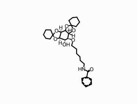 O=C(NCCCCCCO[C@H]1[C@H](O)[C@H]2OC3(CCCCC3)O[C@H]2[C@H]2OC3(CCCCC3)O[C@@H]21)c1ccccc1